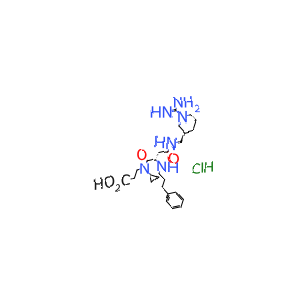 Cl.N=C(N)N1CCC[C@@H](CNC(=O)C[C@H](NCCCc2ccccc2)C(=O)N(CCC(=O)O)C2CC2)C1